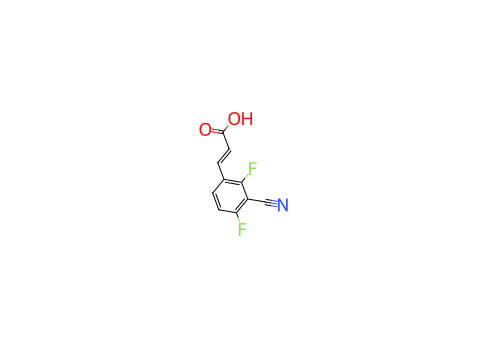 N#Cc1c(F)ccc(C=CC(=O)O)c1F